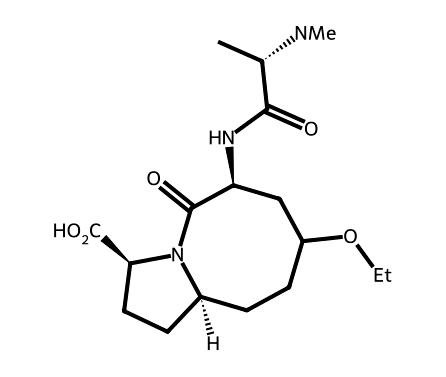 CCOC1CC[C@H]2CC[C@@H](C(=O)O)N2C(=O)[C@@H](NC(=O)[C@H](C)NC)C1